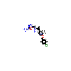 C=C(/C=C\C(=C/C)OCc1ccc(Cl)cc1)[C@H]1C[C@@H]1NCc1nnc(N)o1